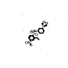 CCc1cc([N+](=O)[O-])ccc1S(=O)(=O)N[C@H]1CCC[C@@H](n2cnnc2)C1